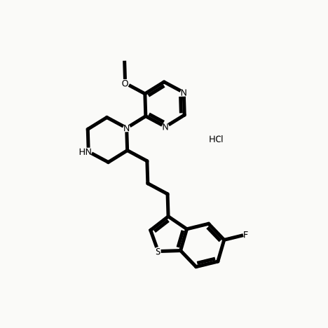 COc1cncnc1N1CCNCC1CCCc1csc2ccc(F)cc12.Cl